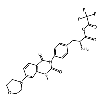 Cn1c(=O)n(-c2ccc(C[C@H](N)C(=O)OC(=O)C(F)(F)F)cc2)c(=O)c2ccc(N3CCOCC3)cc21